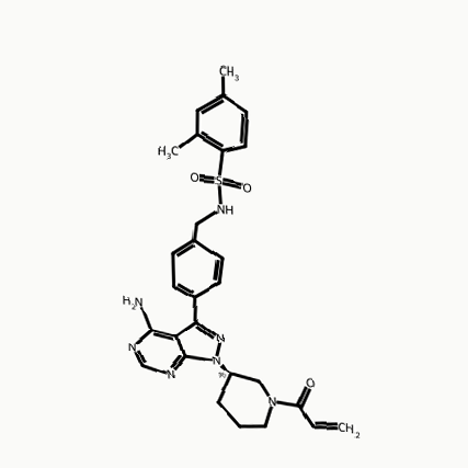 C=CC(=O)N1CCC[C@@H](n2nc(-c3ccc(CNS(=O)(=O)c4ccc(C)cc4C)cc3)c3c(N)ncnc32)C1